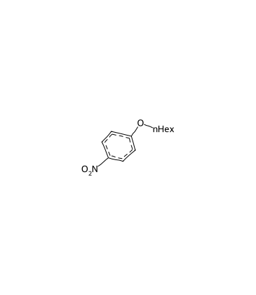 CCCCCCOc1ccc([N+](=O)[O-])cc1